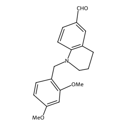 COc1ccc(CN2CCCc3cc(C=O)ccc32)c(OC)c1